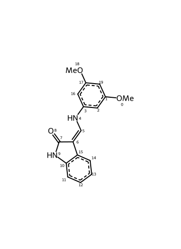 COc1cc(NC=C2C(=O)Nc3ccccc32)cc(OC)c1